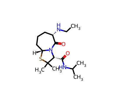 CCN[C@H]1CCC[C@H]2SC(C)(C)[C@@H](C(=O)NC(C)C)N2C1=O